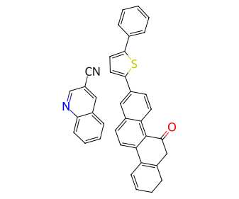 N#Cc1cnc2ccccc2c1.O=C1CC2=C(C=CCC2)c2ccc3cc(-c4ccc(-c5ccccc5)s4)ccc3c21